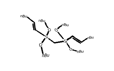 CCCCC=C[Si](C[Si](C=CCCCC)(OCCCC)OCCCC)(OCCCC)OCCCC